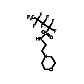 O=S(=O)(NCCN1CCOCC1)C(F)(F)C(F)(F)C(F)(F)C(F)(F)F